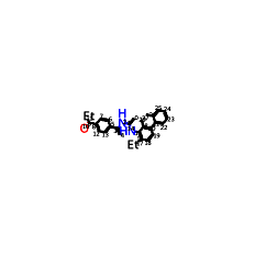 C=C(NC(=C)c1ccc(C(=O)CC)cc1)Nc1c(CC)ccc(-c2ccccc2C)c1C